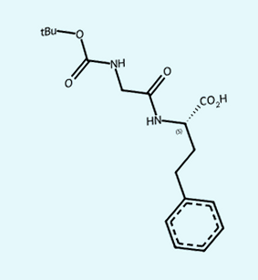 CC(C)(C)OC(=O)NCC(=O)N[C@@H](CCc1ccccc1)C(=O)O